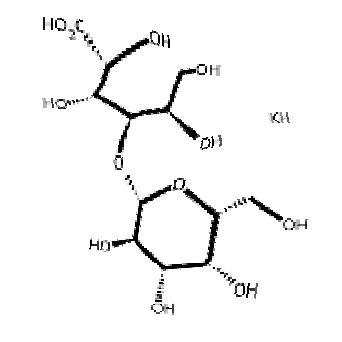 O=C(O)[C@H](O)[C@@H](O)[C@H](O[C@@H]1O[C@H](CO)[C@H](O)[C@H](O)[C@H]1O)[C@H](O)CO.[KH]